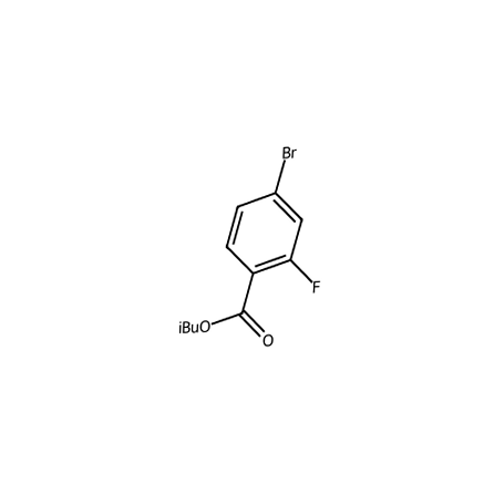 CC(C)COC(=O)c1ccc(Br)cc1F